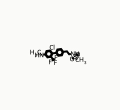 CNc1cc(Cl)c(-c2ccc(CCNS(C)(=O)=O)cc2)c(C(F)(F)F)c1